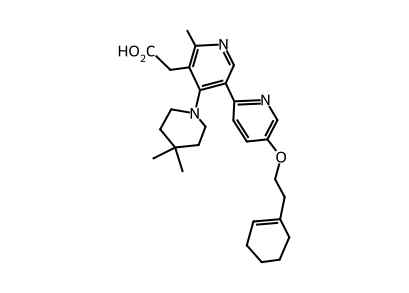 Cc1ncc(-c2ccc(OCCC3=CCCCC3)cn2)c(N2CCC(C)(C)CC2)c1CC(=O)O